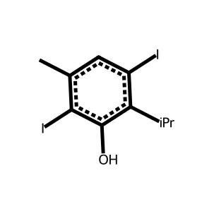 Cc1cc(I)c(C(C)C)c(O)c1I